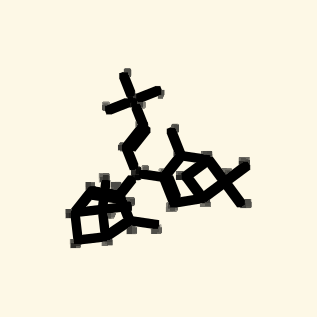 CC1C(B(C=C[Si](C)(C)C)C2=CC3CC(C2C)C3(C)C)=CC2CC1C2(C)C